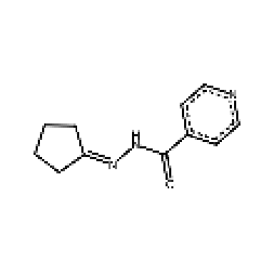 O=C(NN=C1CCCC1)c1ccncc1